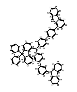 c1ccc(C2(c3ccccc3)c3ccccc3-c3c(N(c4ccc(-c5ccc(-c6cccc7c6oc6ccccc67)cc5)cc4)c4ccc(-c5cccc(-n6c7ccccc7c7ccccc76)c5)cc4)cccc32)cc1